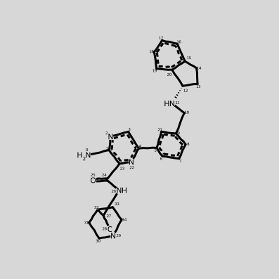 Nc1ncc(-c2cccc(CN[C@H]3CCc4ccccc43)c2)nc1C(=O)NC1CN2CCC1CC2